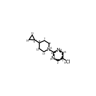 Clc1cnc(N2CCC([C]3CC3)CC2)nc1